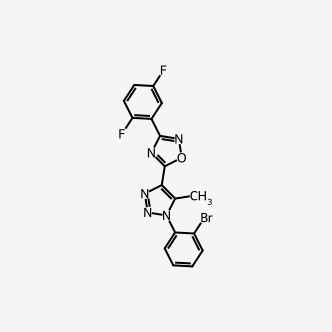 Cc1c(-c2nc(-c3cc(F)ccc3F)no2)nnn1-c1ccccc1Br